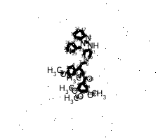 COc1ccc(C(CCN2CCC(Nc3nc4ccccc4n3Cc3cccnc3)CC2)CN(C)C(=O)c2cc(OC)c(OC)c(OC)c2)cc1